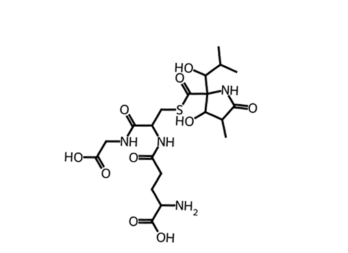 CC(C)C(O)C1(C(=O)SCC(NC(=O)CCC(N)C(=O)O)C(=O)NCC(=O)O)NC(=O)C(C)C1O